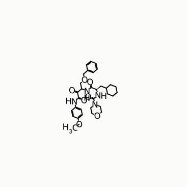 COc1ccc(NC(=O)C(=O)C(COCc2ccccc2)NC(=O)[C@@H](CC2CCCCC2)NC(=O)N2CCOCC2)cc1